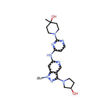 CCC(C)n1nc(N2CC[C@@H](O)C2)c2cnc(Nc3ccnc(N4CCC(C)(O)CC4)n3)cc21